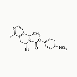 CCC1Cc2c(ccnc2F)C(C)N1C(=O)Oc1ccc([N+](=O)[O-])cc1